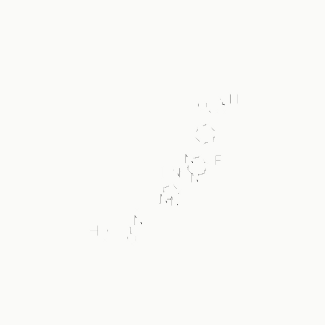 CCC(=O)N1CCC(n2cc(Nc3ncc(F)c(-c4ccc(C(=O)OC)cc4)n3)cn2)CC1